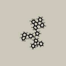 CC1(c2ccccc2)c2ccccc2-c2cc(N(c3ccc(-c4cccc5ccccc45)cc3)c3cccc(-c4ccc5c(c4)c(-c4ccccc4)c(-c4ccccc4)c4ccccc45)c3)ccc21